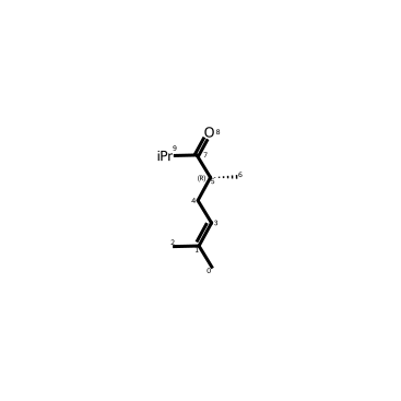 CC(C)=CC[C@@H](C)C(=O)C(C)C